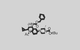 CC(=O)N1c2ccc(N3CCN(C(=O)OC(C)(C)C)[C@@H](C)C3)cc2[C@H](NC(=O)OCc2ccccc2)[C@@H](C)C1C1CC1